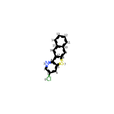 Clc1cnc2c(c1)sc1cc3ccccc3cc12